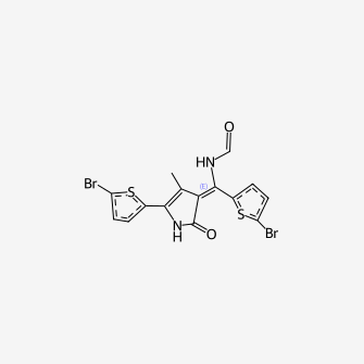 CC1=C(c2ccc(Br)s2)NC(=O)/C1=C(/NC=O)c1ccc(Br)s1